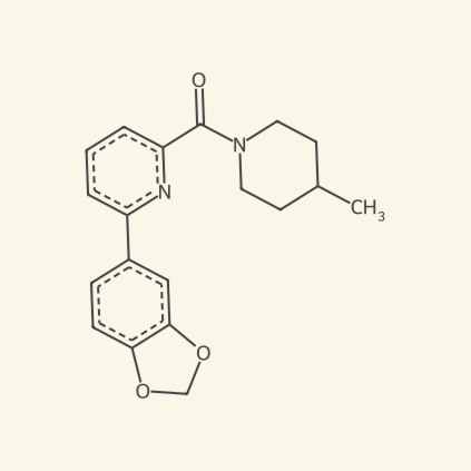 CC1CCN(C(=O)c2cccc(-c3ccc4c(c3)OCO4)n2)CC1